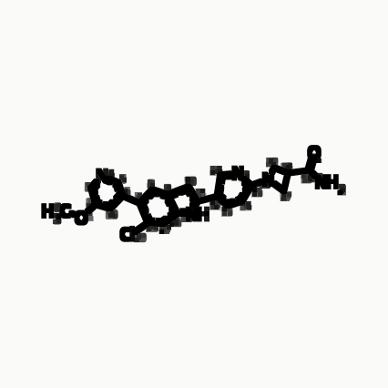 COc1cncc(-c2cc3cc(-c4ccc(N5CC(C(N)=O)C5)nc4)[nH]c3cc2Cl)c1